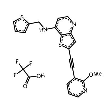 COc1ncccc1C#Cc1cc2nccc(NCc3cccs3)c2s1.O=C(O)C(F)(F)F